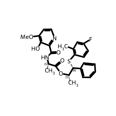 COc1ccnc(C(=O)N[C@@H](C)C(=O)O[C@@H](C)[C@H](Sc2ccc(F)cc2C)c2ccccc2)c1O